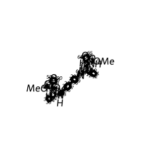 COC(=O)N[C@H](C(=O)N1CC2(CCCC2)C[C@H]1c1nc(-c2ccc(-c3ccc(-c4c[nH]c([C@@H]5CC6(CCCC6)CN5C(=O)[C@@H](NC(=O)OC)C5C[C@@H](C)O[C@H](C)C5)n4)cc3)cc2)c[nH]1)C1C[C@@H](C)O[C@H](C)C1